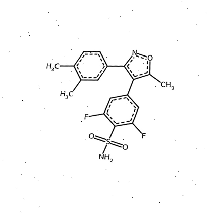 Cc1ccc(-c2noc(C)c2-c2cc(F)c(S(N)(=O)=O)c(F)c2)cc1C